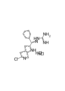 Cl.Cl.N=C(N)N/N=C(\c1ccccc1)c1cc2cc(Cl)ncc2[nH]1